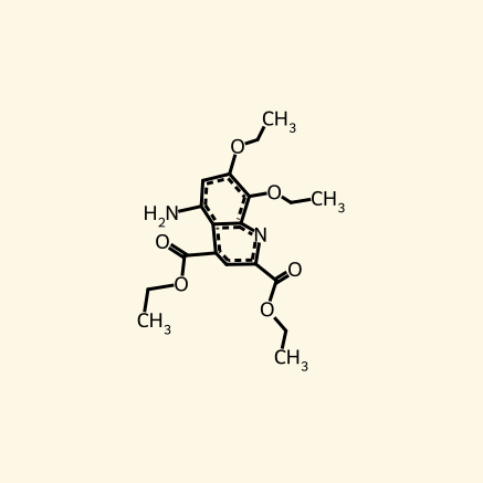 CCOC(=O)c1cc(C(=O)OCC)c2c(N)cc(OCC)c(OCC)c2n1